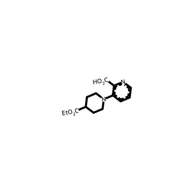 CCOC(=O)C1CCN(c2cccnc2C(=O)O)CC1